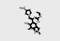 C\C=N/C(CC)=N/C(=C\N1CC[C@H](NC)C1)c1cc2cn(C)nc2c(C)c1O